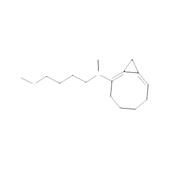 CNCCCCN(C)/C1=C2\C\C2=C\CCCC1